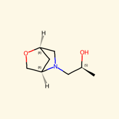 C[C@H](O)CN1C[C@H]2C[C@@H]1CO2